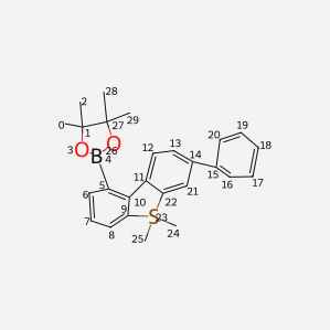 CC1(C)OB(c2cccc3c2-c2ccc(-c4ccccc4)cc2S3(C)C)OC1(C)C